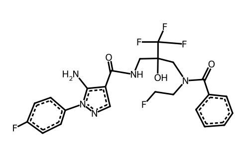 Nc1c(C(=O)NCC(O)(CN(CCF)C(=O)c2ccccc2)C(F)(F)F)cnn1-c1ccc(F)cc1